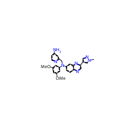 COc1cc(OC)cc(N(Cc2cc(N)ccn2)c2ccc3ncc(-c4cnn(C)c4)nc3c2)c1